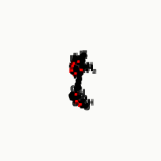 CN(c1ccc(F)cc1)C(O)Oc1c(/C(=C/NCCCCCCCCC(=O)Nc2cccc3c2C(=O)N(C2CCC(=O)NC2=O)C3=O)NN)cc(C(F)(F)F)cc1C(F)(F)F